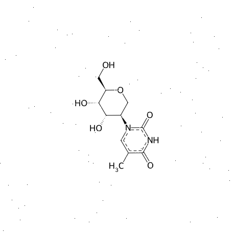 Cc1cn([C@@H]2CO[C@H](CO)[C@@H](O)[C@H]2O)c(=O)[nH]c1=O